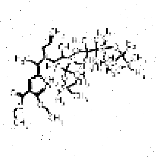 C=CCN(CC(C)[Si](C)(OC(C)(C)C(C)(C)[Si](C)(C)OC(C)(C)[Si](C)(C)C)C(C)(C)O[Si](C)(C)C)/C(C)=C(\C)C=C(C(=O)OCC)C(=O)OCC